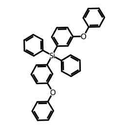 c1ccc(Oc2cccc([Si](c3ccccc3)(c3ccccc3)c3cccc(Oc4ccccc4)c3)c2)cc1